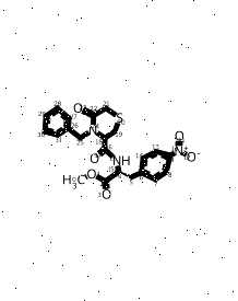 COC(=O)[C@H](Cc1ccc([N+](=O)[O-])cc1)NC(=O)C1CSCC(=O)N1Cc1ccccc1